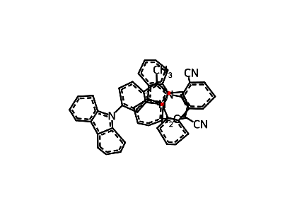 C=C(C#N)/C=C\c1c(C)c2ccc(-n3c4ccccc4c4ccccc43)cc2n1-c1ccccc1-c1cccc(C#N)c1-n1c2ccccc2c2ccccc21